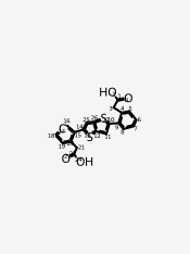 O=C(O)Cc1ccccc1-c1cc2sc(-c3ccccc3CC(=O)O)cc2s1